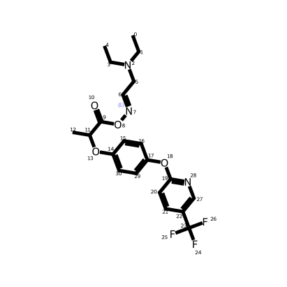 CCN(CC)C/C=N/OC(=O)C(C)Oc1ccc(Oc2ccc(C(F)(F)F)cn2)cc1